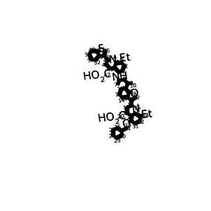 CCc1ccc(NC(C)CC(C)c2cccc3c(-c4cc(C(=O)O)c5c(OCc6ccccc6)ccc(CC)c5n4)coc23)c2c(C(=O)O)cc(-c3csc4ccccc34)nc12